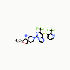 C[C@@H]1OCC2(CCN(c3nc(C(F)(F)F)c(Sc4cccnc4C(F)(F)F)c4nccn34)CC2)[C@@H]1N